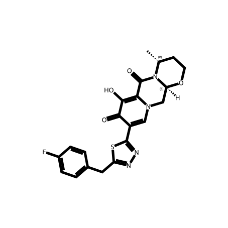 C[C@@H]1CCO[C@H]2Cn3cc(-c4nnc(Cc5ccc(F)cc5)s4)c(=O)c(O)c3C(=O)N12